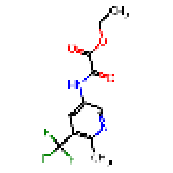 CCOC(=O)C(=O)Nc1cnc(C)c(C(F)(F)F)c1